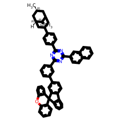 C[C@@H]1CC2CC(c3ccc(-c4nc(-c5cccc(-c6ccc7c(c6)C6(c8ccccc8Oc8ccccc86)c6ccccc6-7)c5)nc(-c5ccc6ccccc6c5)n4)cc3)C[C@@H](C1)[C@@H]2C